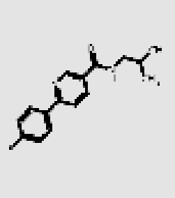 CC(C)CNC(=O)c1ccc(-c2ccc(F)cc2)nc1